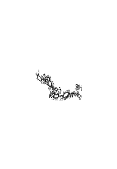 O=S(=O)(c1ccccc1)n1ccc2cc(Nc3ncnc4ccc(-c5ccc(CNC6C7CCC(C7)C6CO)cc5)cc34)ccc21